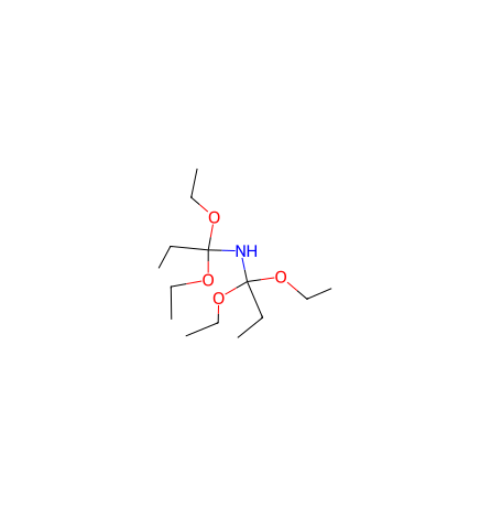 CCOC(CC)(NC(CC)(OCC)OCC)OCC